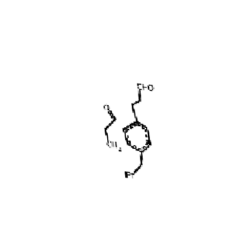 CC(C)Cc1ccc(CCC=O)cc1.CCC=O